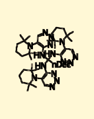 CCCCCCCCCCC(Nc1nnncc1N1C(C)(C)CCCC1(C)C)(Nc1nnncc1N1C(C)(C)CCCC1(C)C)Nc1nnncc1N1C(C)(C)CCCC1(C)C